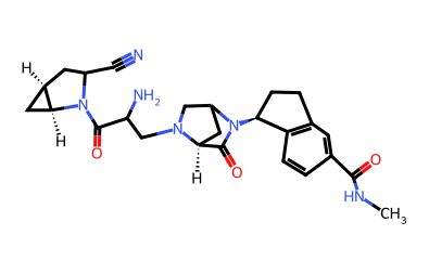 CNC(=O)c1ccc2c(c1)CC[C@@H]2N1C(=O)[C@@H]2CC1CN2CC(N)C(=O)N1C(C#N)C[C@@H]2C[C@@H]21